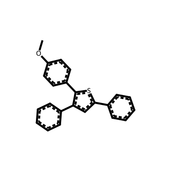 COc1ccc(-c2sc(-c3ccccc3)cc2-c2ccccc2)cc1